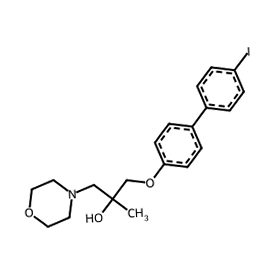 CC(O)(COc1ccc(-c2ccc(I)cc2)cc1)CN1CCOCC1